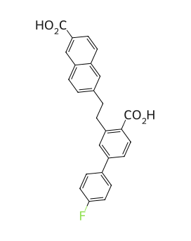 O=C(O)c1ccc2cc(CCc3cc(-c4ccc(F)cc4)ccc3C(=O)O)ccc2c1